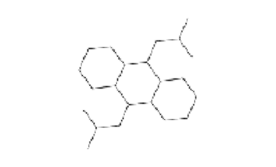 CC(C)CC1C2CCCCC2C(CC(C)C)C2CCCCC21